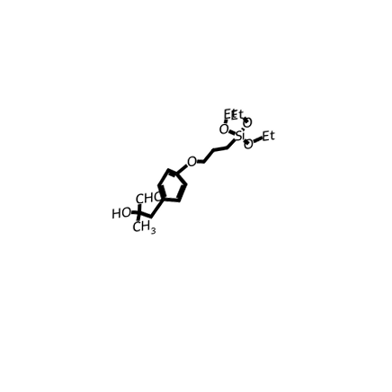 CCO[Si](CCCOc1ccc(CC(C)(O)C=O)cc1)(OCC)OCC